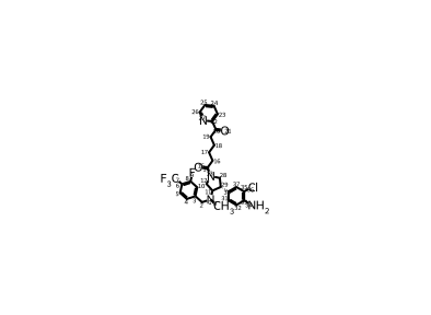 CN(Cc1ccc(C(F)(F)F)c(F)c1)C1CN(C(=O)CCCCC(=O)c2ccccn2)C[C@@H]1c1ccc(N)c(Cl)c1